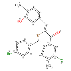 O=C(C(=Cc1ccc([N+](=O)[O-])c(O)c1)SCc1ccc(Br)cc1)c1ccc([N+](=O)[O-])c(Cl)c1